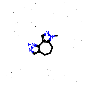 Cn1ncc2c1CCCc1cn[nH]c1-2